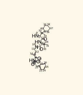 CN[C@H](C(=O)NC(C(=O)N(C)C/C=C(\C)C(=O)NS(=O)(=O)Cc1ccccc1)C(C)(C)C)C(C)(C)C1CCCCC1